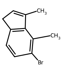 CC1=CCc2ccc(Br)c(C)c21